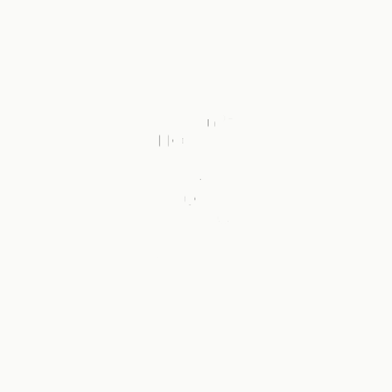 CCCC(O)C(C)C(C)(C)OC(=O)c1ccccc1